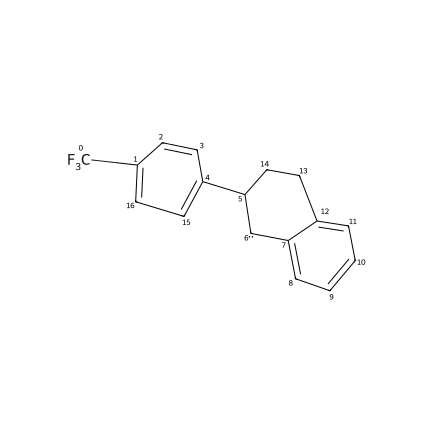 FC(F)(F)c1ccc(C2[C]c3ccccc3CC2)cc1